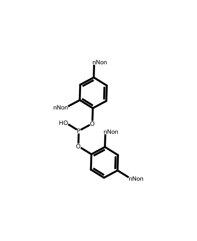 CCCCCCCCCc1ccc(OP(O)Oc2ccc(CCCCCCCCC)cc2CCCCCCCCC)c(CCCCCCCCC)c1